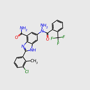 Cc1c(Cl)cccc1-c1nc2c(C(N)=O)cc(N(N)C(=O)c3ccccc3C(F)(F)F)cc2[nH]1